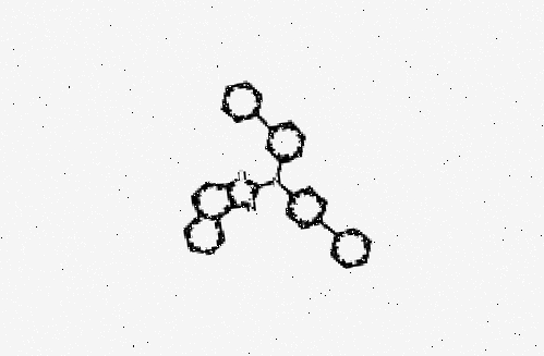 c1ccc(-c2ccc(N(c3cccc(-c4ccccc4)c3)c3nc4c(ccc5ccccc54)o3)cc2)cc1